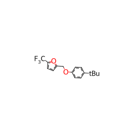 CC(C)(C)c1ccc(OCc2ccc(C(F)(F)F)o2)cc1